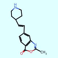 Cc1nc2cc(/C=C/C3CCNCC3)ccc2c(=O)o1